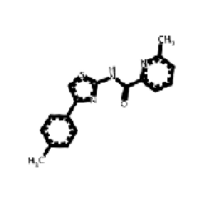 Cc1ccc(-c2csc(NC(=O)c3cccc(C)n3)n2)cc1